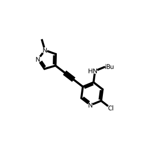 CCC(C)Nc1cc(Cl)ncc1C#Cc1cnn(C)c1